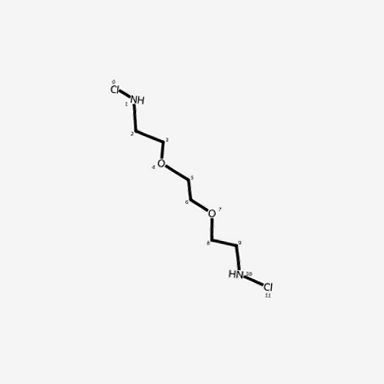 ClNCCOCCOCCNCl